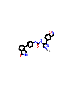 CC(C)(C)n1cc(NC(=O)Nc2ccc(-c3cccc4c3CNC4=O)cc2)c(-c2ccc3oncc3c2)n1